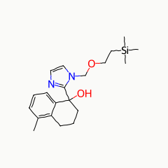 Cc1cccc2c1CCCC2(O)c1nccn1COCC[Si](C)(C)C